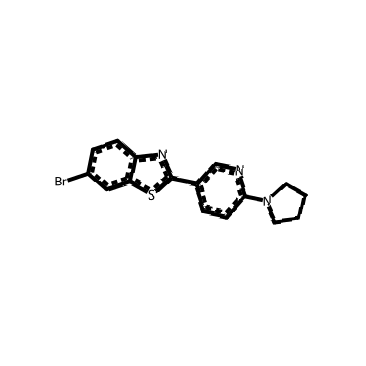 Brc1ccc2nc(-c3ccc(N4CCCC4)nc3)sc2c1